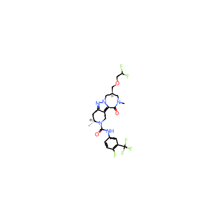 C[C@@H]1Cc2nn3c(c2CN1C(=O)Nc1ccc(F)c(C(F)(F)F)c1)C(=O)N(C)C[C@H](COCC(F)F)C3